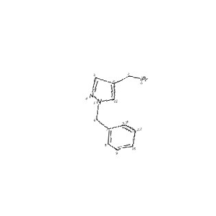 CC(C)Cc1cnn(Cc2ccccc2)c1